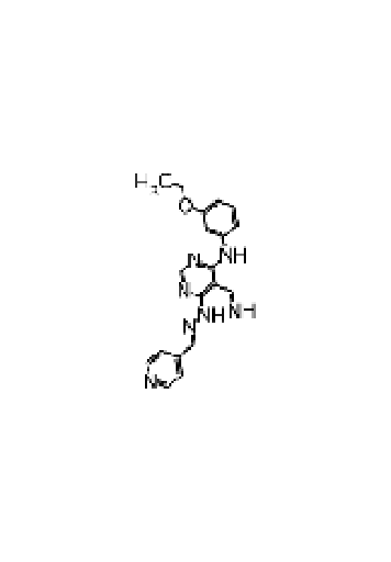 CCOc1cccc(Nc2ncnc(N/N=C/c3ccncc3)c2C=N)c1